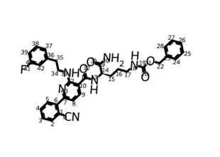 N#Cc1ccccc1-c1ccc(C(=O)N[C@H](CCCNC(=O)OCc2ccccc2)C(N)=O)c(NCCc2cccc(F)c2)n1